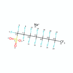 O=S(=O)([O-])C(F)(F)C(F)(F)C(F)(F)C(F)(F)C(F)(F)C(F)(F)C(F)(F)C(F)(F)F.[Na+]